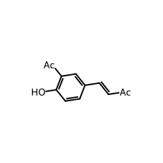 CC(=O)/C=C/c1ccc(O)c(C(C)=O)c1